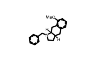 COc1cccc2c1C[C@@H]1[C@@H](CCN1Cc1ccccc1)C2